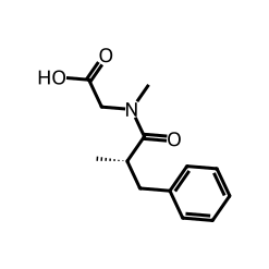 C[C@@H](Cc1ccccc1)C(=O)N(C)CC(=O)O